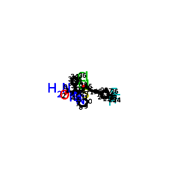 NC(=O)c1nn(N2CCCCC2)c(-c2ccc(C#Cc3ccc(C(F)(F)F)cc3)s2)c1-c1cccc(Cl)c1Cl